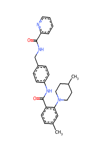 Cc1ccc(C(=O)Nc2ccc(CNC(=O)c3ccccn3)cc2)c(N2CCC(C)CC2)c1